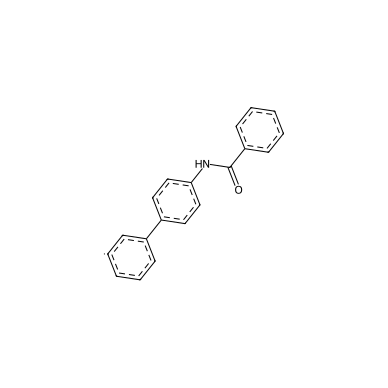 O=C(Nc1ccc(-c2c[c]ccc2)cc1)c1ccccc1